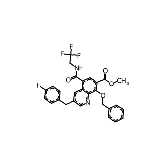 COC(=O)c1cc(C(=O)NCC(F)(F)F)c2cc(Cc3ccc(F)cc3)cnc2c1OCc1ccccc1